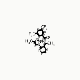 Cc1cn(-c2nccnc2C(C)NC(=O)c2cc(C(F)(F)F)cc(C(F)(F)F)c2)nn1